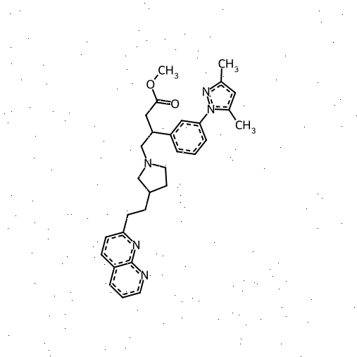 COC(=O)CC(CN1CCC(CCc2ccc3cccnc3n2)C1)c1cccc(-n2nc(C)cc2C)c1